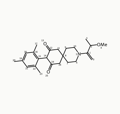 C=C(C(C)OC)N1CCC2(CC1)CC(=O)C(c1c(C)cc(C)cc1C)C(=O)C2